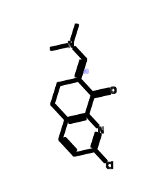 CN(C)/C=C1\CCc2ccc(Cl)nc2C1=O